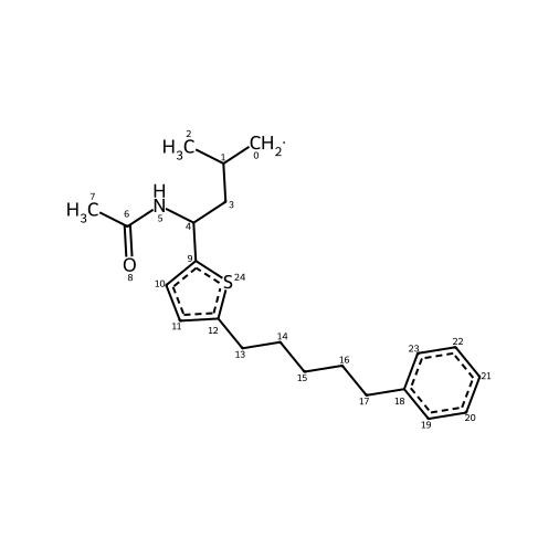 [CH2]C(C)CC(NC(C)=O)c1ccc(CCCCCc2ccccc2)s1